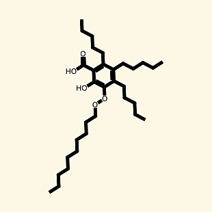 CCCCCCCCCCOOc1c(O)c(C(=O)O)c(CCCCC)c(CCCCC)c1CCCCC